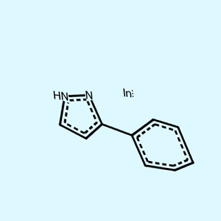 [In].c1ccc(-c2cc[nH]n2)cc1